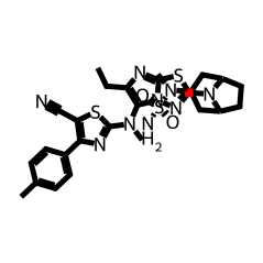 CCc1nc2sc(N3C4CCC3CC(N(C)S(N)(=O)=O)C4)nn2c1N(C)c1nc(-c2ccc(C)cc2)c(C#N)s1